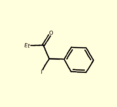 CCC(=O)C(I)c1ccccc1